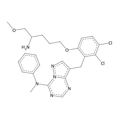 COCC(N)CCCOc1ccc(Cl)c(Cl)c1Cc1cnn2c(N(C)c3ccccc3)ncnc12